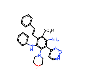 Nc1c(-c2ccnnn2)c(N2CCOCC2)c(Nc2ccccc2)c(C=Cc2ccccc2)c1S(=O)(=O)O